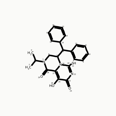 CC(C)N1CC(C(c2ccccc2)C2C=C=CC=C2)n2c(S)nc(=O)c(O)c2C1=O